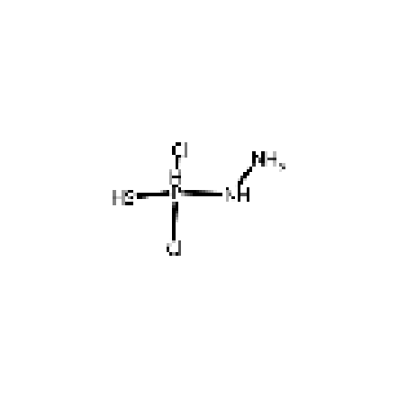 NN[PH](S)(Cl)Cl